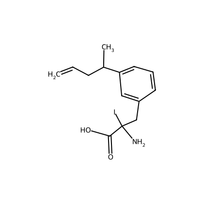 C=CCC(C)c1cccc(CC(N)(I)C(=O)O)c1